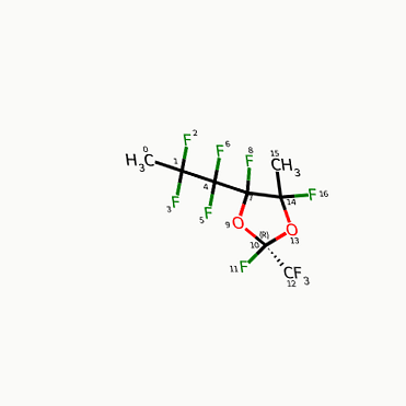 CC(F)(F)C(F)(F)C1(F)O[C@@](F)(C(F)(F)F)OC1(C)F